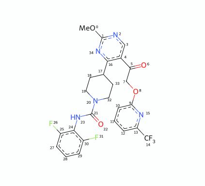 COc1ncc(C(=O)COc2cccc(C(F)(F)F)n2)c(C2CCN(C(=O)Nc3c(F)cccc3F)CC2)n1